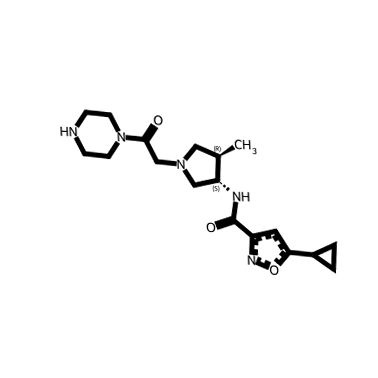 C[C@@H]1CN(CC(=O)N2CCNCC2)C[C@H]1NC(=O)c1cc(C2CC2)on1